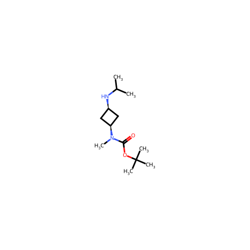 CC(C)N[C@H]1C[C@@H](N(C)C(=O)OC(C)(C)C)C1